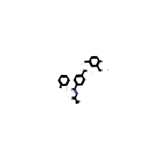 N=C(/C=C(\Nc1ccccc1Cl)c1ccc(C(=O)Nc2c(Cl)ccc(Cl)c2C(=O)O)cc1)C(F)(F)F